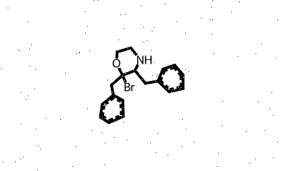 BrC1(Cc2ccccc2)OCCNC1Cc1ccccc1